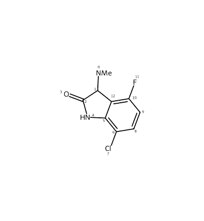 CNC1C(=O)Nc2c(Cl)ccc(F)c21